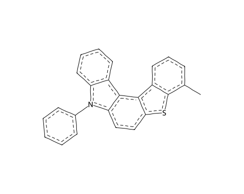 Cc1cccc2c1sc1ccc3c(c4ccccc4n3-c3ccccc3)c12